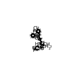 CC1(C)N=C(C2C=C(N(Cc3ccc(Cl)c(F)c3)S(=O)(=O)c3ccccc3)C2)N[C@@H]1C(=O)N1CCC(F)(F)CC1